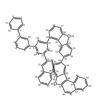 c1ccc(-c2cccc(-c3nc(-c4ccc5ccccc5c4)nc(-c4cccc5oc6ccc(-c7ccc8oc9ccc%10ccccc%10c9c8c7)cc6c45)n3)c2)cc1